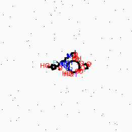 CN/C(=C\N(N)[C@H](CF)[C@H](OC)c1ccc(CO)cc1)CCN(C)[C@@H]1C[C@H](O[C@@H]2[C@@H](C)[C@H](O[C@H]3C[C@@](C)(OC)C[C@H](C)O3)[C@@H](C)C(=O)O[C@H](I)[C@@](C)(O)[C@H](O)[C@@H](C)N(C)C[C@H](C)C[C@@]2(C)O)O[C@H](C)C1